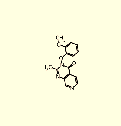 COc1ccccc1On1c(C)nc2cnccc2c1=O